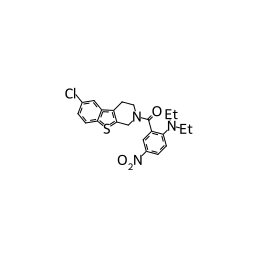 CCN(CC)c1ccc([N+](=O)[O-])cc1C(=O)N1CCc2c(sc3ccc(Cl)cc23)C1